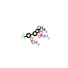 CCOc1cc(C(F)(F)F)ccc1-c1ccc2c(c1)CC(C)(C)C2OC(N)=O